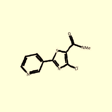 CNC(=O)c1sc(-c2cccnc2)nc1Cl